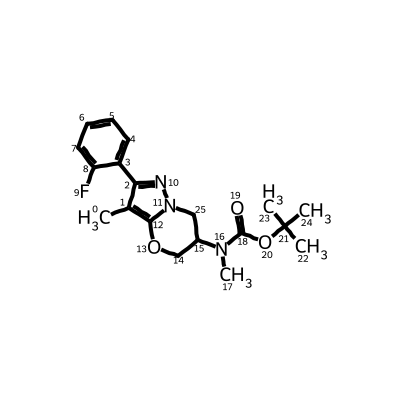 Cc1c(-c2ccccc2F)nn2c1OCC(N(C)C(=O)OC(C)(C)C)C2